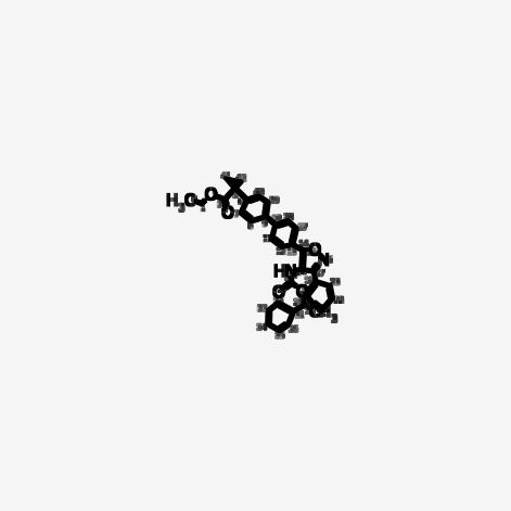 CCOC(=O)C1(c2ccc(-c3ccc(-c4onc(-c5ccccc5)c4NC(=O)O[C@H](C)c4ccccc4)cc3)cc2)CC1